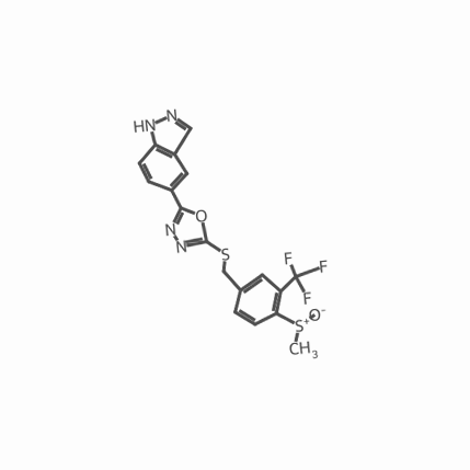 C[S+]([O-])c1ccc(CSc2nnc(-c3ccc4[nH]ncc4c3)o2)cc1C(F)(F)F